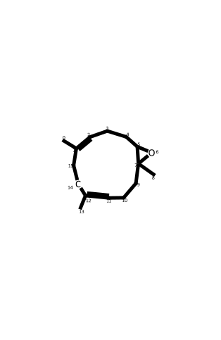 C/C1=C/CCC2OC2(C)CC/C=C(/C)CC1